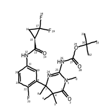 CN1C(=O)C(C)(C)C(C)(c2cc(NC(=O)[C@H]3CC3(F)F)ccc2F)N=C1NC(=O)OC(C)(C)C